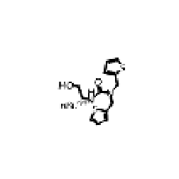 CCCC[C@H](CO)NC(=O)N(Cc1cccs1)Cc1cccs1